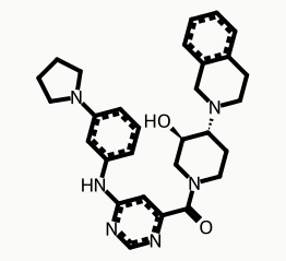 O=C(c1cc(Nc2cccc(N3CCCC3)c2)ncn1)N1CC[C@@H](N2CCc3ccccc3C2)[C@H](O)C1